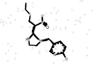 CCSC/C(=C1\NCCN1Cc1ccc(Cl)nc1)[N+](=O)[O-]